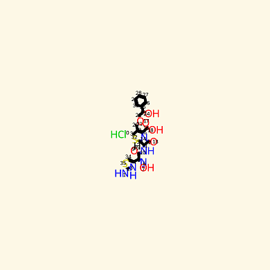 Cl.N=c1[nH]c(C(=NO)C(=O)NC2C(=O)N3C(C(=O)O)=C(COCC(O)c4ccccc4)CS[C@@H]23)cs1